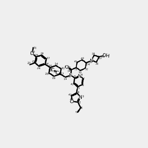 CCc1nc(-c2ccnc(N(CC34CCC(c5ccc(OC)c(C)c5)(CC3)CC4)C(=O)C3CCC(N4CC(O)C4)CC3)c2)co1